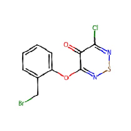 O=c1c(Cl)nsnc1Oc1ccccc1CBr